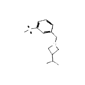 CC(C)C1CN(Cc2cccc(S(C)(=O)=O)c2)C1